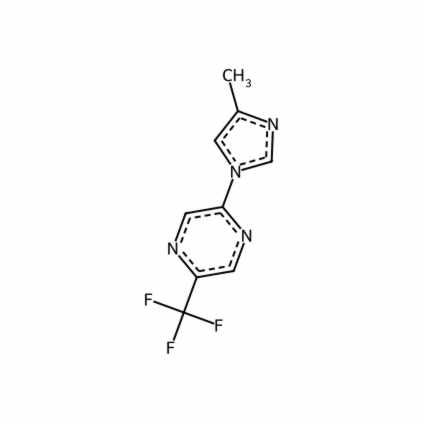 Cc1cn(-c2cnc(C(F)(F)F)cn2)cn1